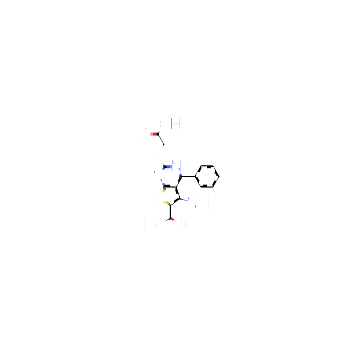 CC(=O)CSc1nc(-c2ccccc2)c2c(N)c(C(C)=O)sc2n1